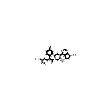 C[C@@H]1C[C@@H](O)c2ncnc(N3CCN(C(=O)C(CCN(C)C)c4ccc(Cl)cc4)CC3)c21